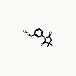 CC1(C)CC(=O)N(c2cccc(N=C=O)c2)C1=O